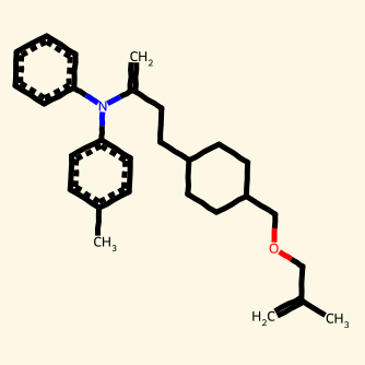 C=C(C)COCC1CCC(CCC(=C)N(c2ccccc2)c2ccc(C)cc2)CC1